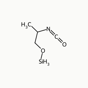 CC(CO[SiH3])N=C=O